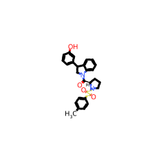 Cc1ccc(S(=O)(=O)N2CCC[C@@H]2C(=O)N2CC(c3cccc(O)c3)c3ccccc32)cc1